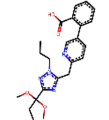 CCCn1nc(C(CC)(OC)OC)nc1Cc1ccc(-c2ccccc2C(=O)O)cn1